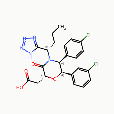 CCC[C@@H](c1nnn[nH]1)N1C(=O)[C@@H](CC(=O)O)O[C@H](c2cccc(Cl)c2)[C@@H]1c1ccc(Cl)cc1